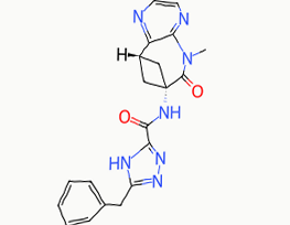 CN1c2nccnc2[C@H]2C[C@@](NC(=O)c3nnc(Cc4ccccc4)[nH]3)(C2)C1=O